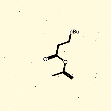 C=C(C)OC(=O)CCCCCC